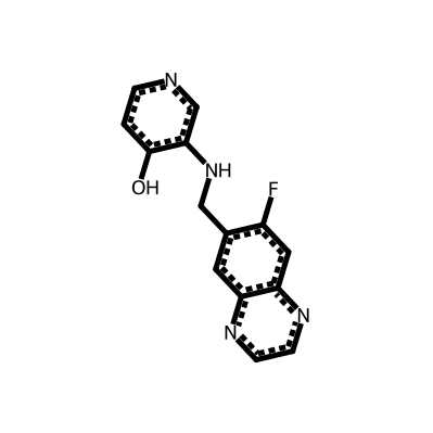 Oc1ccncc1NCc1cc2nccnc2cc1F